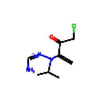 C=C(C(=O)CCl)N(/N=C\N)C(C)C